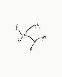 CCCC(Br)[N+](CC)(CC)CC.[Br-]